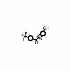 O=C(c1ccc(C(F)(F)F)cc1)c1nc2ccc(O)cc2s1